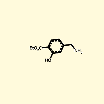 CCOC(=O)c1ccc(CN)cc1O